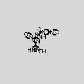 CN/C=C(\C=N)c1nc(N2CCOCC2)c2nc(C(=O)N3CCC(N4CCOCC4)CC3)[nH]c2n1